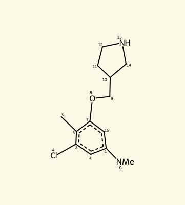 CNc1cc(Cl)c(C)c(OCC2CCNC2)c1